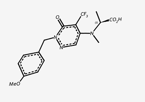 COc1ccc(Cn2ncc(N(C)[C@@H](C)C(=O)O)c(C(F)(F)F)c2=O)cc1